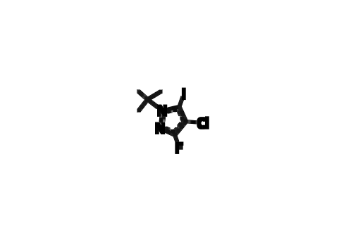 CC(C)(C)n1nc(F)c(Cl)c1I